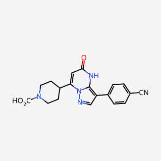 N#Cc1ccc(-c2cnn3c(C4CCN(C(=O)O)CC4)cc(=O)[nH]c23)cc1